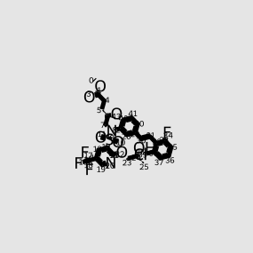 COC(=O)CC[C@H]1CN(S(=O)(=O)c2cc(C(F)(F)F)cnc2OC[C@@H](C)O)c2cc(C=Cc3c(F)cccc3Cl)ccc2O1